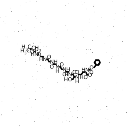 CC(C)(C)OC(=O)NOCCNC(=O)CNC(=O)CNC(=O)CNC(=O)CNC(=O)C(CO)NC(=O)CCC(NC(=O)OCc1ccccc1)C(=O)O